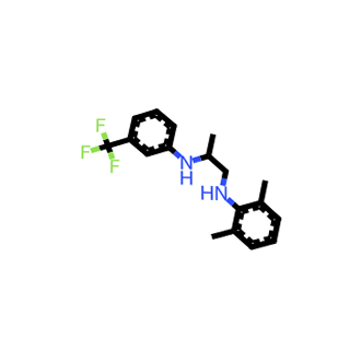 Cc1cccc(C)c1NCC(C)Nc1cccc(C(F)(F)F)c1